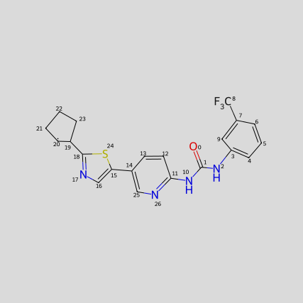 O=C(Nc1cccc(C(F)(F)F)c1)Nc1ccc(-c2cnc(C3[CH]CCC3)s2)cn1